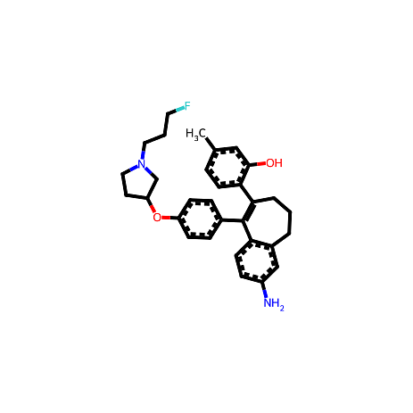 Cc1ccc(C2=C(c3ccc(OC4CCN(CCCF)C4)cc3)c3ccc(N)cc3CCC2)c(O)c1